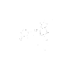 CC(C)c1cnn2c(NCc3cccc(N)c3)nc(OC3CCCCC3)nc12